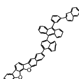 c1cc(-c2ccc3ccccc3c2)cc(-c2c3ccccc3c(-c3ccc(-c4ccc5cc6oc7c(ccc8c9ccccc9oc87)c6cc5c4)c4ccccc34)c3ccccc23)c1